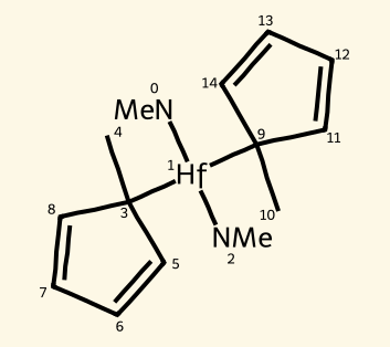 C[NH][Hf]([NH]C)([C]1(C)C=CC=C1)[C]1(C)C=CC=C1